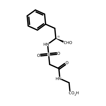 O=C[C@H](Cc1ccccc1)NS(=O)(=O)CC(=O)NCC(=O)O